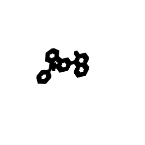 Cc1ccc2ccccc2c1-c1ccc2c(c1)c1ccccc1n2-c1ccccc1